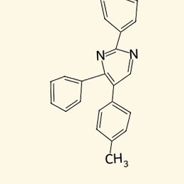 Cc1ccc(-c2cnc(-c3ccccc3)nc2-c2ccccc2)cc1